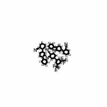 N#Cc1ccccc1-c1ccc2c3ccccc3n(-c3cc(-c4cc(C(F)(F)F)cc(C(F)(F)F)c4)cc(-n4c5ccccc5c5ccc(-c6ccccc6C#N)cc54)c3C#N)c2c1